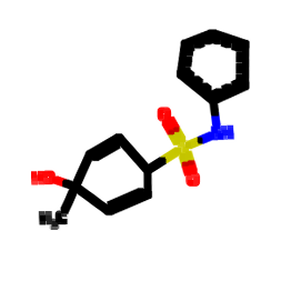 CC1(O)C=CC(S(=O)(=O)Nc2ccccc2)C=C1